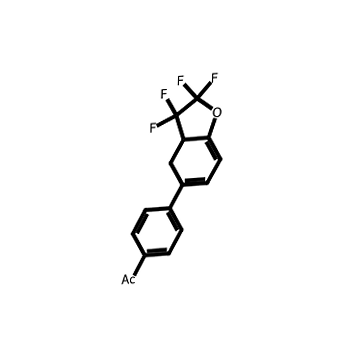 CC(=O)c1ccc(C2=CC=C3OC(F)(F)C(F)(F)C3C2)cc1